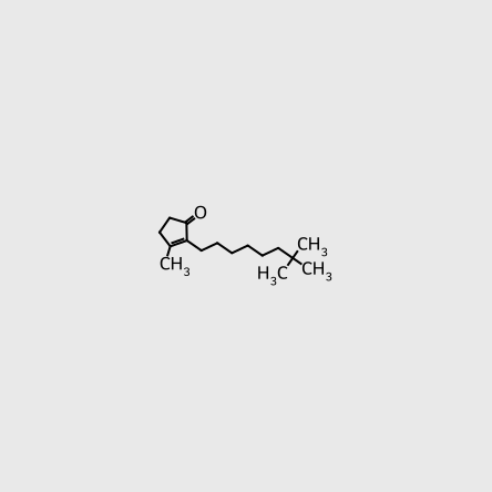 CC1=C(CCCCCCC(C)(C)C)C(=O)CC1